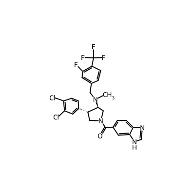 CN(Cc1ccc(C(F)(F)F)c(F)c1)[C@H]1CN(C(=O)c2ccc3nc[nH]c3c2)C[C@@H]1c1ccc(Cl)c(Cl)c1